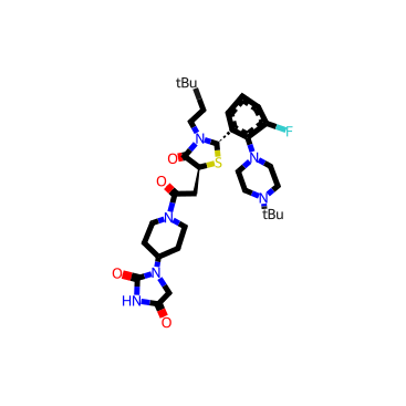 CC(C)(C)CCN1C(=O)[C@H](CC(=O)N2CCC(N3CC(=O)NC3=O)CC2)S[C@H]1c1cccc(F)c1N1CCN(C(C)(C)C)CC1